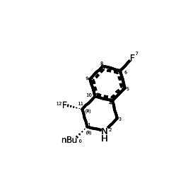 CCCC[C@H]1NCc2cc(F)ccc2[C@H]1F